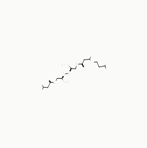 CC(C)CCOC(C)CC(=O)NC/C(N)=N/N=C(\N)CNC(=O)CC(C)C